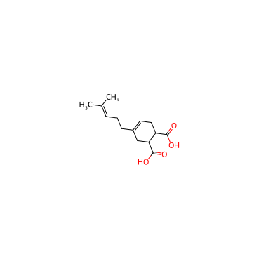 CC(C)=CCCC1=CCC(C(=O)O)C(C(=O)O)C1